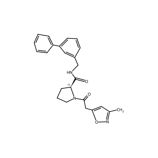 Cc1cc(CC(=O)N2CCC[C@H]2C(=O)NCc2cccc(-c3ccccc3)c2)on1